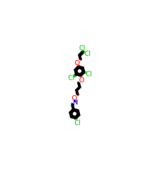 ClC(Cl)=CCOc1cc(Cl)c(OCCCCO/N=C/c2ccc(Cl)cc2)c(Cl)c1